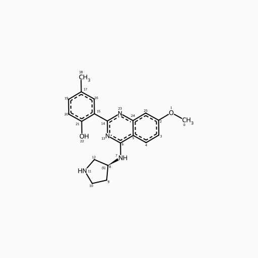 COc1ccc2c(N[C@H]3CCNC3)nc(-c3cc(C)ccc3O)nc2c1